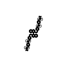 C=C(C)C(=O)Oc1ccc(C(=O)Oc2ccc(/C=C\c3ccc4ccccc4c3-c3c(/C=C\c4ccc(OC(=O)c5ccc(OC(=O)C(=C)C)cc5)cc4)ccc4ccccc34)cc2)cc1